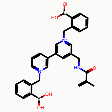 C=C(C)C(=O)NCc1cc(-c2ccc[n+](Cc3ccccc3B(O)O)c2)c[n+](Cc2ccccc2B(O)O)c1